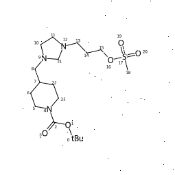 CC(C)(C)OC(=O)N1CCC(CN2CCN(CCCOS(C)(=O)=O)C2)CC1